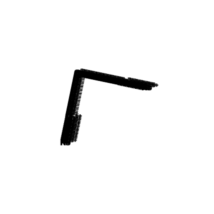 [Nb+5].[Nb+5].[Nb+5].[Nb+5].[Nb+5].[Nb+5].[Nb+5].[Nb+5].[Nb+5].[Nb+5].[Nb+5].[Nb+5].[Nb+5].[Nb+5].[Nb+5].[Nb+5].[Nb+5].[Nb+5].[Nb+5].[Nb+5].[Nb+5].[Nb+5].[Nb+5].[Nb+5].[Nb+5].[Nb+5].[Nb+5].[Nb+5].[Nb+5].[Nb+5].[O-2].[O-2].[O-2].[O-2].[O-2].[O-2].[O-2].[O-2].[O-2].[O-2].[O-2].[O-2].[O-2].[O-2].[O-2].[O-2].[O-2].[O-2].[O-2].[O-2].[O-2].[O-2].[O-2].[O-2].[O-2].[O-2].[O-2].[O-2].[O-2].[O-2].[O-2].[O-2].[O-2].[O-2].[O-2].[O-2].[O-2].[O-2].[O-2].[O-2].[O-2].[O-2].[O-2].[O-2].[O-2].[O-2].[O-2].[O-2].[O-2].[O-2]